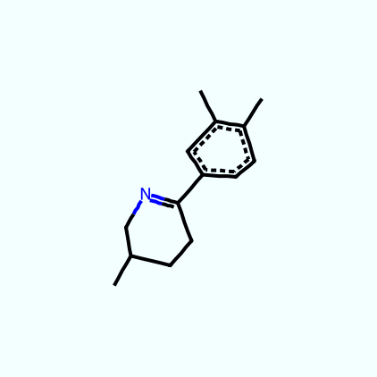 Cc1ccc(C2=NCC(C)CC2)cc1C